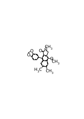 COc1c2c(c(-c3ccc4c(c3)OCO4)c3cc(C)c(C)cc13)C(=O)N(C)C2